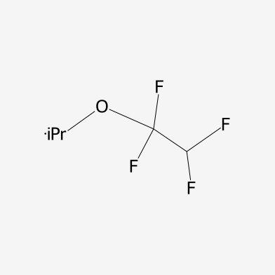 C[C](C)OC(F)(F)C(F)F